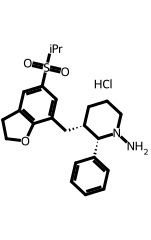 CC(C)S(=O)(=O)c1cc2c(c(C[C@@H]3CCCN(N)[C@@H]3c3ccccc3)c1)OCC2.Cl